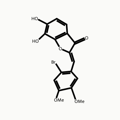 COc1cc(Br)c(C=C2Oc3c(ccc(O)c3O)C2=O)cc1OC